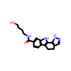 O=C(NCCCCO)c1ccc2c3c([nH]c2c1)-c1[nH]ncc1CC3